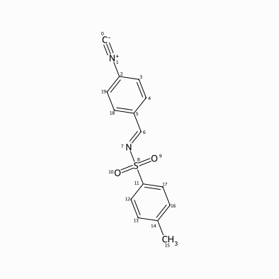 [C-]#[N+]c1ccc(C=NS(=O)(=O)c2ccc(C)cc2)cc1